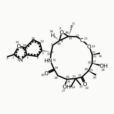 Cc1nc2cc([C@@H]3C[C@H]4O[C@@]4(F)CCO[C@@H](C)[C@@H](O)[C@@H](C)C(=O)C(C)(C)[C@@H](O)CC(=O)N3)ccc2o1